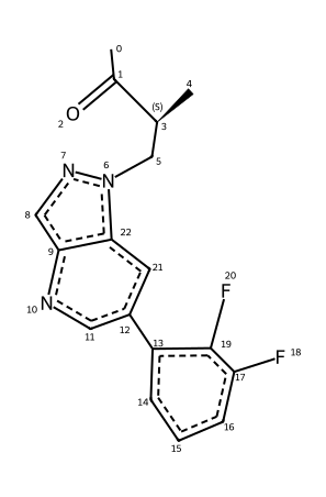 CC(=O)[C@@H](C)Cn1ncc2ncc(-c3cccc(F)c3F)cc21